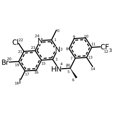 Cc1nc(N[C@H](C)c2cccc(C(F)(F)F)c2C)c2cc(I)c(Br)c(Cl)c2n1